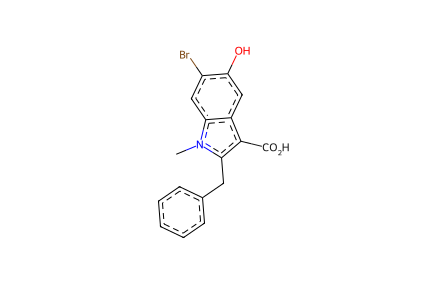 Cn1c(Cc2ccccc2)c(C(=O)O)c2cc(O)c(Br)cc21